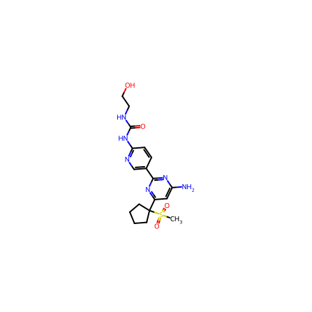 CS(=O)(=O)C1(c2cc(N)nc(-c3ccc(NC(=O)NCCO)nc3)n2)CCCC1